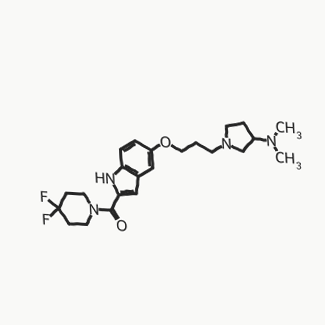 CN(C)C1CCN(CCCOc2ccc3[nH]c(C(=O)N4CCC(F)(F)CC4)cc3c2)C1